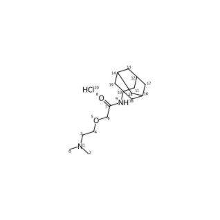 CN(C)CCOCC(=O)NC12CC3CC(CC(C3)C1)C2.Cl